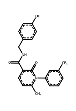 Cc1ccc(C(=O)NCc2ccc(O)cc2)c(=O)n1-c1cccc(C(F)(F)F)c1